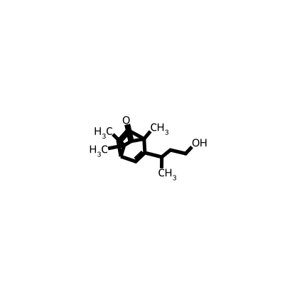 CC(CCO)C1=CC2C=CC1(C)C(=O)C2(C)C